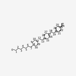 CCCCCCCC[C@H]1CC[C@H](CCC2CC=C(CCc3ccc(F)cc3)CC2)CC1